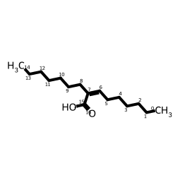 CCCCCCC=C(CCCCCCC)C(=O)O